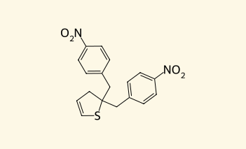 O=[N+]([O-])c1ccc(CC2(Cc3ccc([N+](=O)[O-])cc3)CC=CS2)cc1